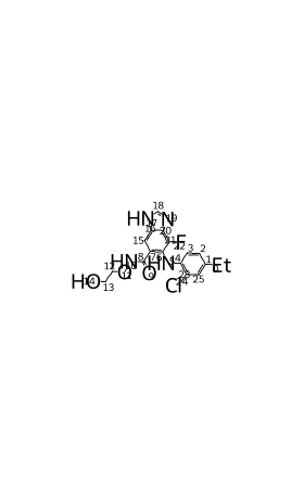 CCc1ccc(Nc2c(C(=O)NOCCO)cc3[nH]cnc3c2F)c(Cl)c1